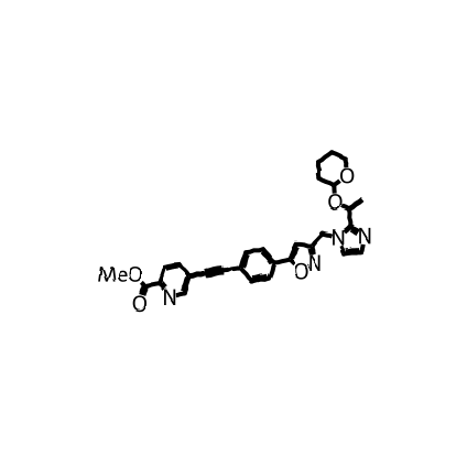 COC(=O)c1ccc(C#Cc2ccc(-c3cc(Cn4ccnc4C(C)OC4CCCCO4)no3)cc2)cn1